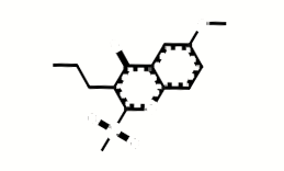 CCCc1c(S(C)(=O)=O)oc2ccc(OC)cc2c1=O